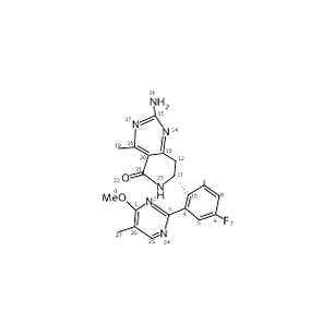 COc1nc(-c2cc(F)ccc2[C@H]2Cc3nc(N)nc(C)c3C(=O)N2)ncc1C